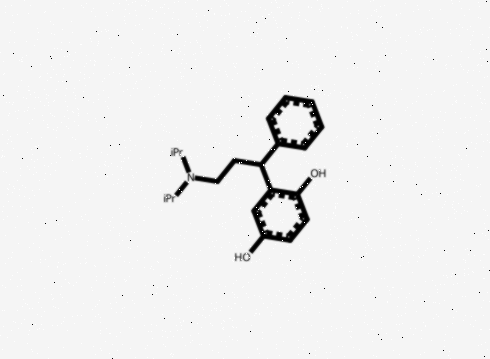 CC(C)N(CCC(c1ccccc1)c1cc(O)ccc1O)C(C)C